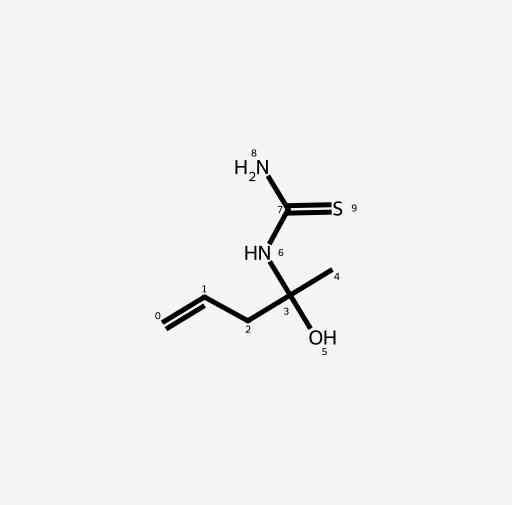 C=CCC(C)(O)NC(N)=S